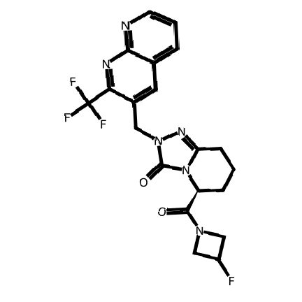 O=C([C@@H]1CCCc2nn(Cc3cc4cccnc4nc3C(F)(F)F)c(=O)n21)N1CC(F)C1